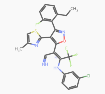 CCc1cccc(F)c1-c1noc(/C(C=N)=C(/Nc2cccc(Cl)c2)C(F)(F)F)c1-c1nc(C)cs1